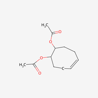 CC(=O)OC1CC/C=C\CCC1OC(C)=O